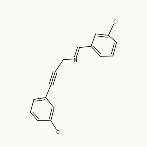 Clc1cccc(C#CCN=Cc2cccc(Cl)c2)c1